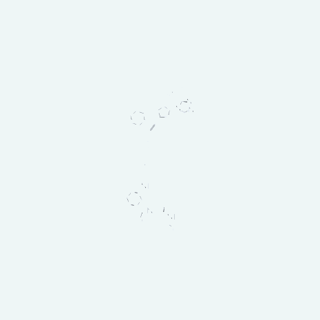 Cc1nnc2n1-c1sc(C#CCOCCOCCNc3cccc4c3CN(C3CCC(=O)NC3=O)C4=O)c(Cc3ccccc3)c1CO[C@H]2C